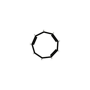 [C]1=C\C=C/C/C=C\CC/1